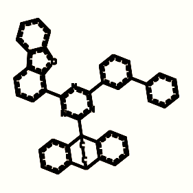 c1ccc(-c2cccc(-c3nc(-c4cccc5c4oc4ccccc45)nc(C45CCC(c6ccccc64)c4ccccc45)n3)c2)cc1